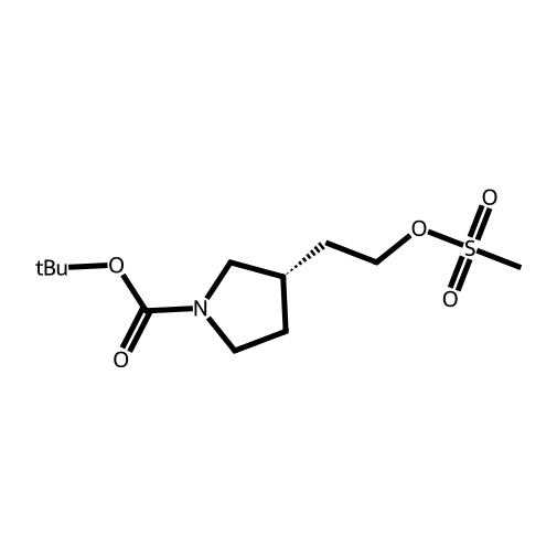 CC(C)(C)OC(=O)N1CC[C@@H](CCOS(C)(=O)=O)C1